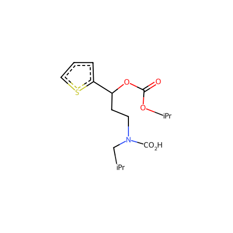 CC(C)CN(CCC(OC(=O)OC(C)C)c1cccs1)C(=O)O